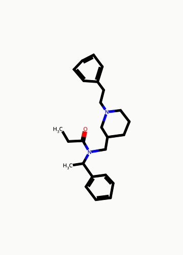 CCC(=O)N(CC1CCCN(CCc2ccccc2)C1)C(C)c1ccccc1